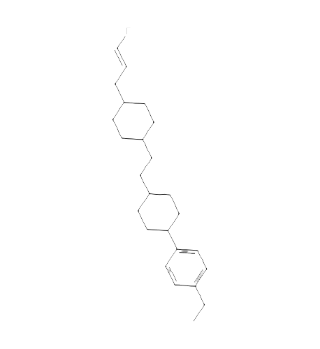 CCc1ccc(C2CCC(CCC3CCC(CC=CF)CC3)CC2)cc1